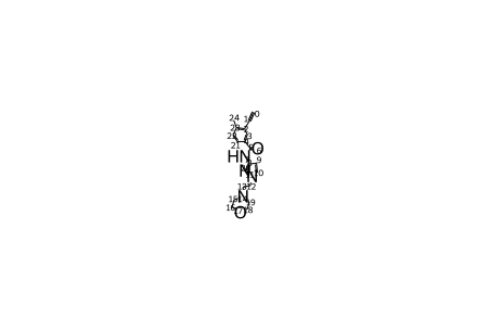 C#Cc1cc(C(=O)Nc2ccn(CCN3CCOCC3)n2)ccc1C